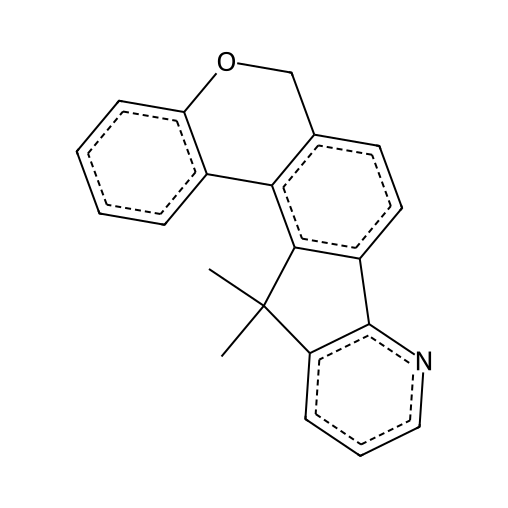 CC1(C)c2cccnc2-c2ccc3c(c21)-c1ccccc1OC3